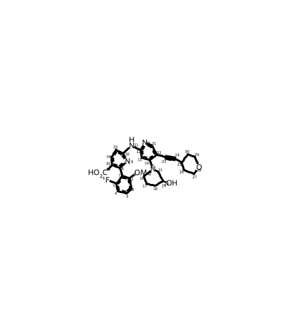 COc1cccc(F)c1-c1nc(Nc2cc(N3CCC[C@H](O)C3)c(C#CC3CCOCC3)cn2)ccc1C(=O)O